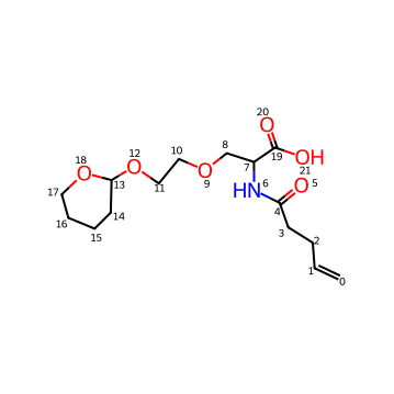 C=CCCC(=O)NC(COCCOC1CCCCO1)C(=O)O